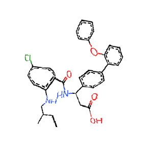 CCC(C)CNc1ccc(Cl)cc1C(=O)NC(CC(=O)O)c1ccc(-c2ccccc2Oc2ccccc2)cc1